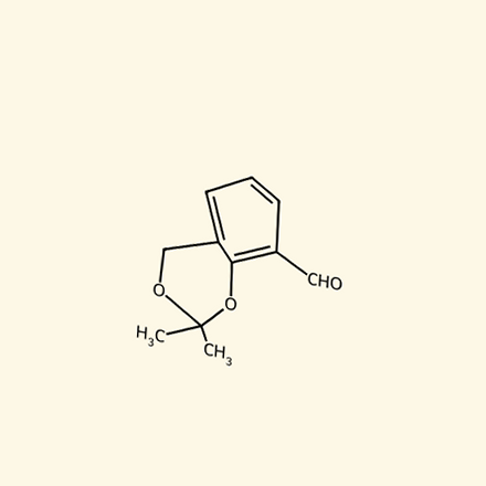 CC1(C)OCc2cccc(C=O)c2O1